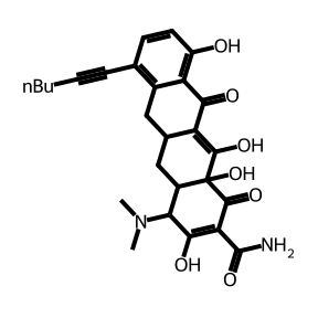 CCCCC#Cc1ccc(O)c2c1CC1CC3C(N(C)C)C(O)=C(C(N)=O)C(=O)C3(O)C(O)=C1C2=O